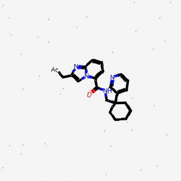 CC(=O)Cc1cn2c(C(=O)NCC3(c4cccnc4)CCCCC3)cccc2n1